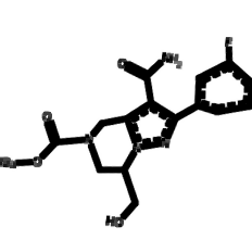 CC(C)(C)OC(=O)N1Cc2c(C(N)=O)c(-c3cccc(F)c3)nn2C(CO)C1